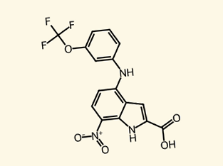 O=C(O)c1cc2c(Nc3cccc(OC(F)(F)F)c3)ccc([N+](=O)[O-])c2[nH]1